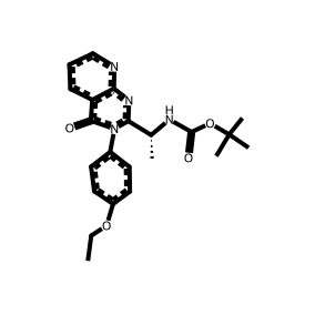 CCOc1ccc(-n2c([C@@H](C)NC(=O)OC(C)(C)C)nc3ncccc3c2=O)cc1